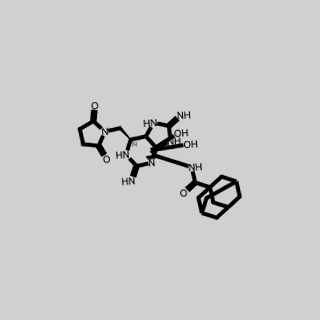 N=C1NC2[C@H](CN3C(=O)CCC3=O)NC(=N)N3CC(NC(=O)C45CC6CC(CC(C6)C4)C5)C(O)(O)C23N1